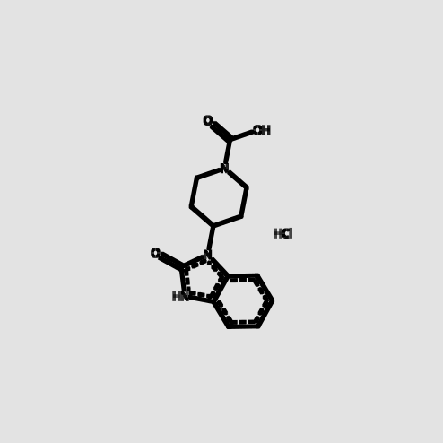 Cl.O=C(O)N1CCC(n2c(=O)[nH]c3ccccc32)CC1